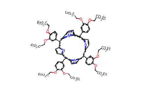 CCOC(=O)COc1ccc(-c2c3nc(c(-c4ccc(OCC(=O)OCC)c(OCC(=O)OCC)c4)c4ccc([nH]4)c(-c4ccc(OCC(=O)OCC)c(OCC(=O)OCC)c4)c4nc(c(-c5ccc(OCC(=O)OCC)c(OCC(=O)OCC)c5)c5ccc2[nH]5)C=C4)C=C3)cc1OCC(=O)OCC